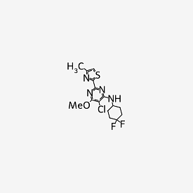 COc1nc(-c2nc(C)cs2)nc(NC2CCC(F)(F)CC2)c1Cl